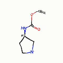 CC(C)(C)OC(=O)N[C@@H]1CC[N]C1